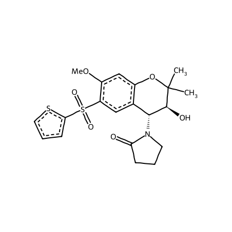 COc1cc2c(cc1S(=O)(=O)c1cccs1)[C@@H](N1CCCC1=O)[C@H](O)C(C)(C)O2